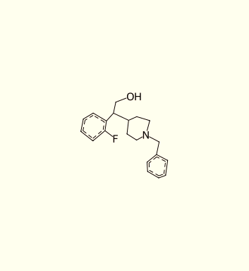 OCC(c1ccccc1F)C1CCN(Cc2ccccc2)CC1